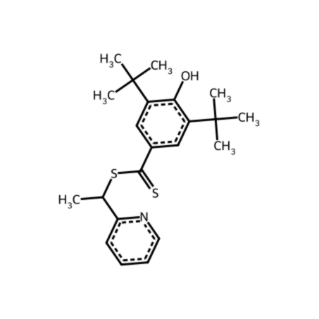 CC(SC(=S)c1cc(C(C)(C)C)c(O)c(C(C)(C)C)c1)c1ccccn1